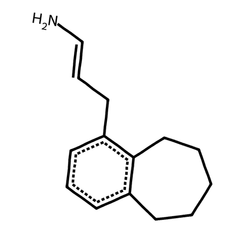 NC=CCc1cccc2c1CCCCC2